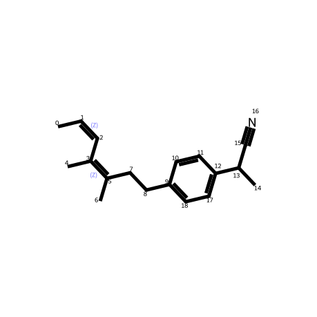 C/C=C\C(C)=C(\C)CCc1ccc(C(C)C#N)cc1